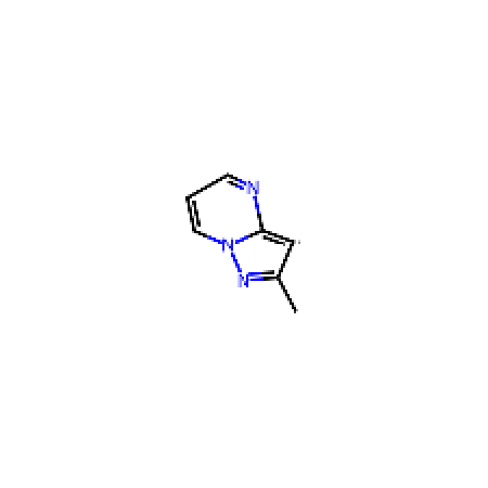 Cc1[c]c2ncccn2n1